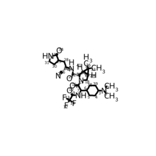 CN(C)C1CCC(C(NC(=O)C(F)(F)F)C(=O)N2C[C@H]3[C@@H]([C@H]2C(=O)N[C@H](C#N)CC2CCNC2=O)C3(C)C)CC1